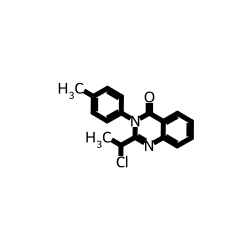 Cc1ccc(-n2c(C(C)Cl)nc3ccccc3c2=O)cc1